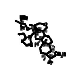 C=Cc1ncnn1[C@@H]1C[C@@]23COC[C@](C)([C@@H]2CC[C@H]2C3=CC[C@@]3(C)[C@H](C(=O)O)[C@@](C)([C@H](C)C(C)C)CC[C@]23C)[C@H]1OC[C@](C)(NC)C(C)C